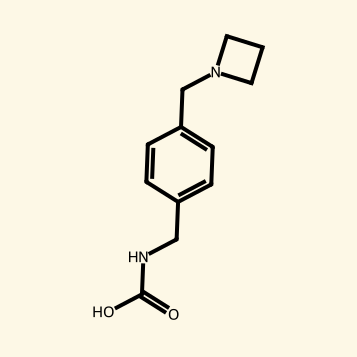 O=C(O)NCc1ccc(CN2CCC2)cc1